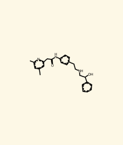 Cc1cc(C)nc(CC(=O)Nc2ccc(CCNCC(O)c3ccccc3)cc2)c1